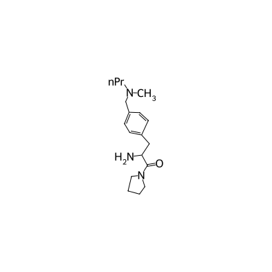 CCCN(C)Cc1ccc(CC(N)C(=O)N2CCCC2)cc1